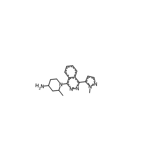 CC1CC(N)CCN1c1nnc(-c2ccnn2C)c2ccccc12